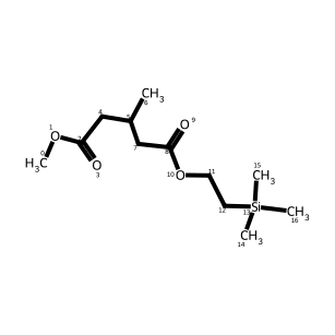 COC(=O)CC(C)CC(=O)OCC[Si](C)(C)C